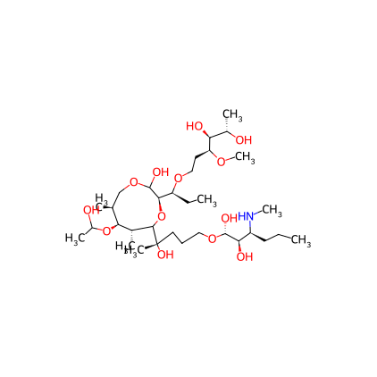 CCC[C@H](NC)[C@@H](O)[C@@H](O)OCCC[C@](C)(O)C1O[C@H]([C@H](CC)OCC[C@H](OC)[C@@H](O)[C@H](C)O)C(O)OC[C@H](C)[C@H](OC(C)O)[C@H]1C